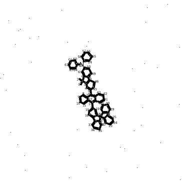 CC1(C)c2cc(-c3c4ccccc4c(-c4ccc5c(c4)C(c4ccccc4)(c4ccccc4)c4ccccc4-5)c4ccccc34)ccc2-c2ccc(N(c3ccccc3)c3ccccc3)cc21